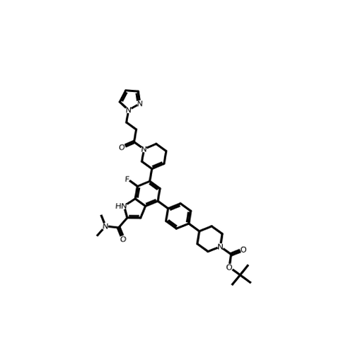 CN(C)C(=O)c1cc2c(-c3ccc(C4CCN(C(=O)OC(C)(C)C)CC4)cc3)cc(C3=CCCN(C(=O)CCn4cccn4)C3)c(F)c2[nH]1